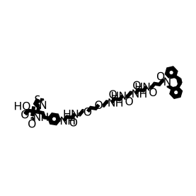 CC(C)(C(=O)O)C(CCc1ccc(NCC(=O)NCCOCCOCCNC(=O)CNC(=O)CNC(=O)CNC(=O)CCC(=O)N2Cc3ccccc3C#Cc3ccccc32)cc1)(NC=O)c1cscn1